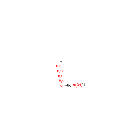 O.O.O.O.O.O.O=[N+]([O-])[O-].[La].[Na+]